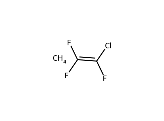 C.FC(F)=C(F)Cl